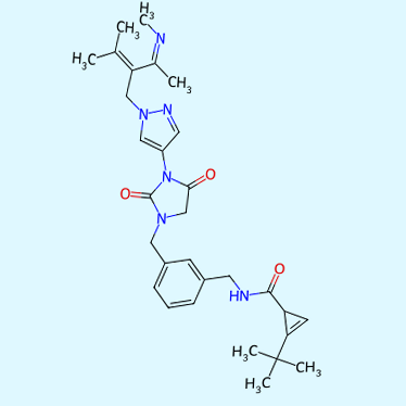 C/N=C(/C)C(Cn1cc(N2C(=O)CN(Cc3cccc(CNC(=O)C4C=C4C(C)(C)C)c3)C2=O)cn1)=C(C)C